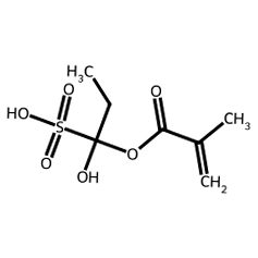 C=C(C)C(=O)OC(O)(CC)S(=O)(=O)O